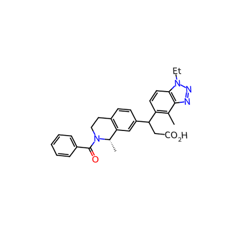 CCn1nnc2c(C)c(C(CC(=O)O)c3ccc4c(c3)[C@H](C)N(C(=O)c3ccccc3)CC4)ccc21